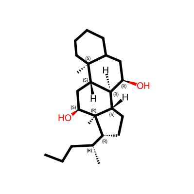 CCC[C@@H](C)[C@H]1CC[C@H]2[C@@H]3[C@H](O)CC4CCCC[C@]4(C)[C@H]3C[C@H](O)[C@]12C